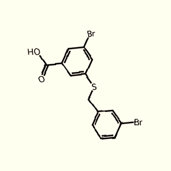 O=C(O)c1cc(Br)cc(SCc2cccc(Br)c2)c1